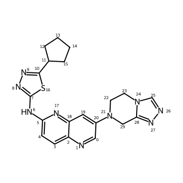 c1nc2ccc(Nc3nnc(C4CCCC4)s3)nc2cc1N1CCn2cnnc2C1